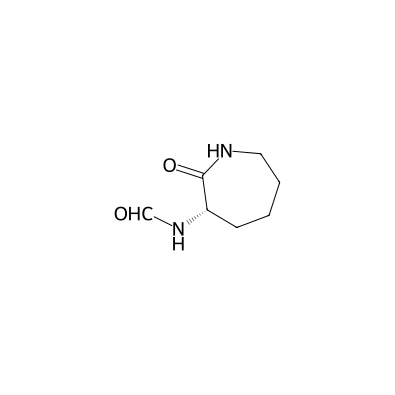 O=CN[C@H]1CCCCNC1=O